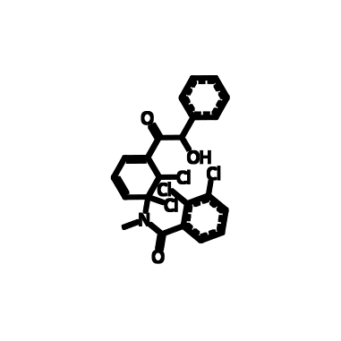 CN(C(=O)c1cccc(Cl)c1Cl)C1(Cl)C=CC=C(C(=O)C(O)c2ccccc2)C1Cl